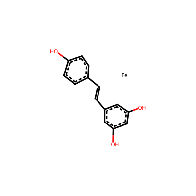 Oc1ccc(C=Cc2cc(O)cc(O)c2)cc1.[Fe]